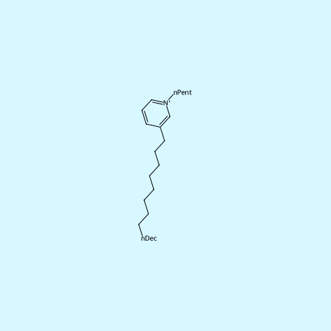 CCCCCCCCCCCCCCCCCCc1ccc[n+](CCCCC)c1